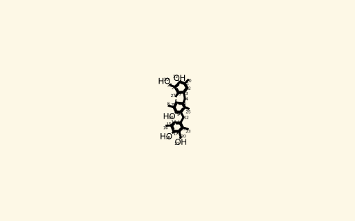 Cc1cc(Cc2cc(C)c(O)c(Cc3cc(C)c(O)c(CO)c3C)c2C)c(C)c(CO)c1O